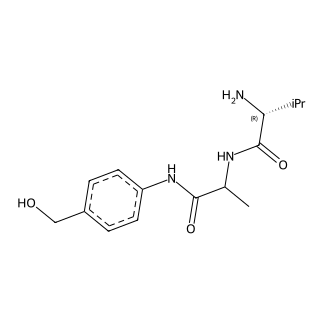 CC(NC(=O)[C@H](N)C(C)C)C(=O)Nc1ccc(CO)cc1